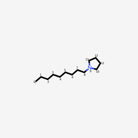 [CH2]CCCCCCCCN1CCCC1